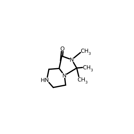 CN1C(=O)C2CNCCN2C1(C)C